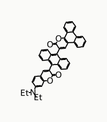 CCN(CC)c1ccc2cc(-c3c4ccccc4c(-c4cc5c6ccccc6c6ccccc6c5oc4=O)c4ccccc34)c(=O)oc2c1